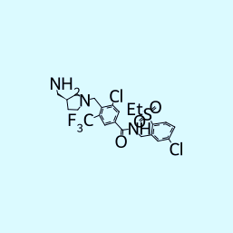 CCS(=O)(=O)c1ccc(Cl)cc1CNC(=O)c1cc(Cl)c(CN2CC[C@@H](CN)C2)c(C(F)(F)F)c1